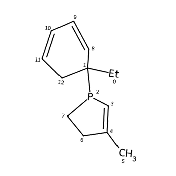 CCC1(P2C=C(C)CC2)C=CC=CC1